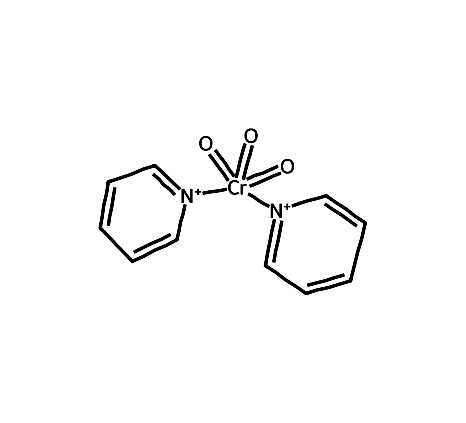 [O]=[Cr](=[O])(=[O])([n+]1ccccc1)[n+]1ccccc1